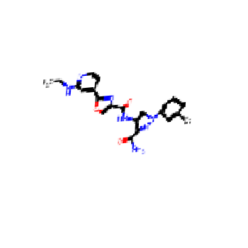 CCc1cccc(-n2cc(NC(=O)c3coc(-c4ccnc(NCC(F)(F)F)c4)n3)c(C(N)=O)n2)c1